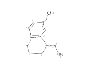 ON=C1CCCc2ccc(Cl)cc21